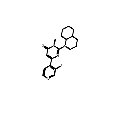 Cn1c(N2CCCC3CCCCC32)nc(-c2ccncc2F)cc1=O